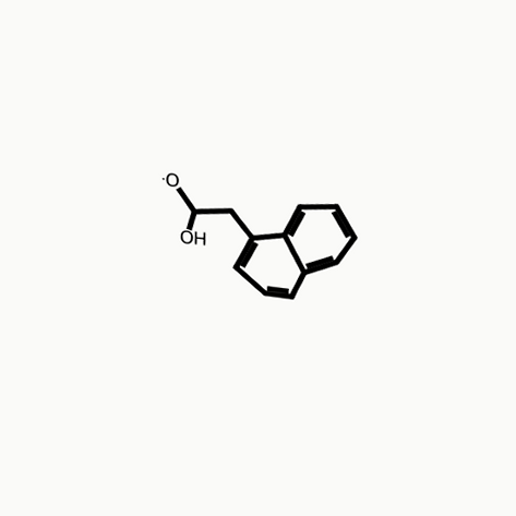 [O]C(O)Cc1cccc2ccccc12